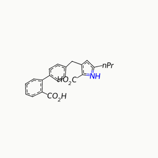 CCCc1cc(Cc2ccc(-c3ccccc3C(=O)O)cc2)c(C(=O)O)[nH]1